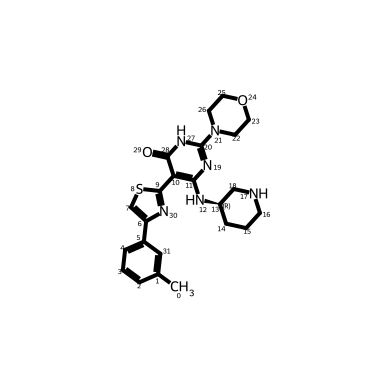 Cc1cccc(-c2csc(-c3c(N[C@@H]4CCCNC4)nc(N4CCOCC4)[nH]c3=O)n2)c1